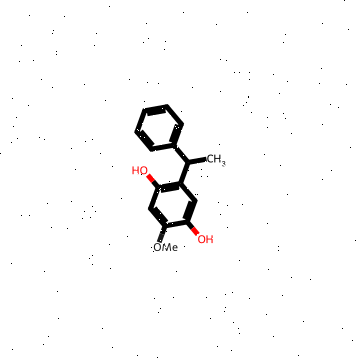 COc1cc(O)c(C(C)c2ccccc2)cc1O